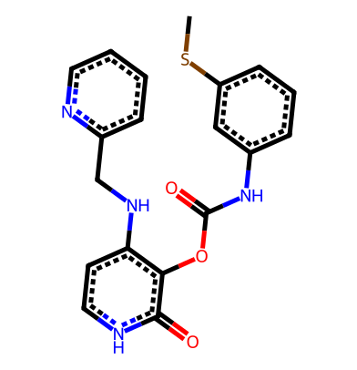 CSc1cccc(NC(=O)Oc2c(NCc3ccccn3)cc[nH]c2=O)c1